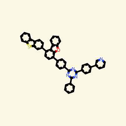 c1ccc(-c2nc(-c3ccc(-c4cccnc4)cc3)nc(-c3ccc(-c4ccc(-c5ccc6c(c5)sc5ccccc56)c5c4oc4ccccc45)cc3)n2)cc1